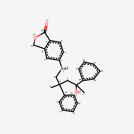 CC(O)(CC(C)(C[AsH]c1ccc2c(c1)COC2=O)c1ccccc1)c1ccccc1